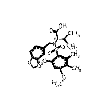 COc1cc(C)c(S(=O)(=O)N(Cc2ccc3c(c2)OCO3)[C@@H](C(=O)O)C(C)C)c(C)c1C